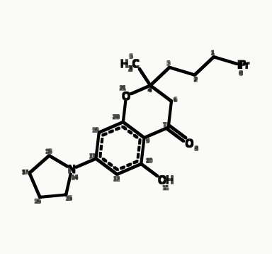 CC(C)CCCC1(C)CC(=O)c2c(O)cc(N3CCCC3)cc2O1